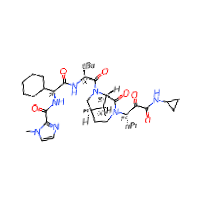 CCC[C@@H](C(=O)C(=O)NC1CC1)N1CC[C@H]2CN(C(=O)[C@@H](NC(=O)[C@@H](NC(=O)c3nccn3C)C3CCCCC3)C(C)(C)C)[C@H](C1=O)[C@H]2C